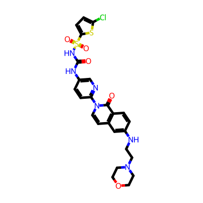 O=C(Nc1ccc(-n2ccc3cc(NCCN4CCOCC4)ccc3c2=O)nc1)NS(=O)(=O)c1ccc(Cl)s1